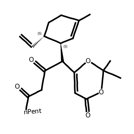 C=C[C@@H]1CCC(C)=C[C@H]1C(C(=O)CC(=O)CCCCC)C1=CC(=O)OC(C)(C)O1